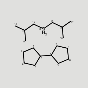 C1CCC(C2CCCC2)C1.CC(C)C[SiH2]CC(C)C